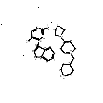 Clc1cnc(N[C@@H]2CCN(C3CCN(CC4CCNCC4)CC3)C2)nc1-c1c[nH]c2ccccc12